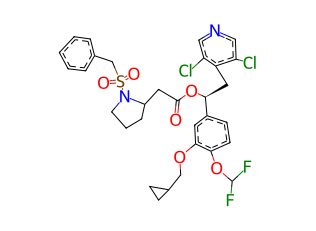 O=C(CC1CCCN1S(=O)(=O)Cc1ccccc1)O[C@@H](Cc1c(Cl)cncc1Cl)c1ccc(OC(F)F)c(OCC2CC2)c1